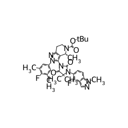 Cc1cc(-n2nc3c(c2N2C(=O)N(c4ccc5c(cnn5C)c4F)C(C)(C)C2=O)[C@H](C)N(C(=O)OC(C)(C)C)CC3)cc(C)c1F